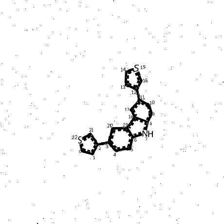 c1cc(-c2ccc3[nH]c4ccc(-c5ccsc5)cc4c3c2)cs1